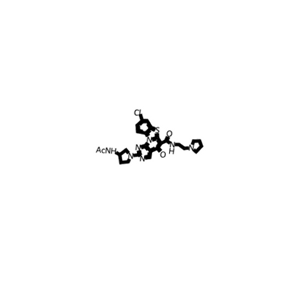 CC(=O)NC1CCN(c2ncc3c(=O)c(C(=O)NCCN4CCCC4)c4sc5cc(Cl)ccc5n4c3n2)C1